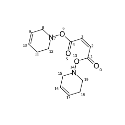 O=C(/C=C\C(=O)ON1CC=CCC1)ON1CC=CCC1